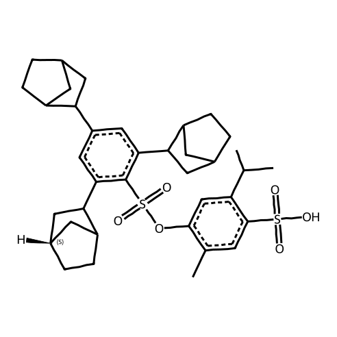 Cc1cc(S(=O)(=O)O)c(C(C)C)cc1OS(=O)(=O)c1c(C2CC3CCC2C3)cc(C2CC3CCC2C3)cc1C1C[C@H]2CCC1C2